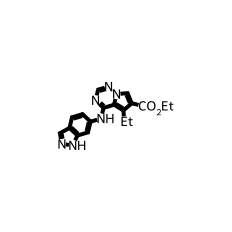 CCOC(=O)c1cn2ncnc(Nc3ccc4cn[nH]c4c3)c2c1CC